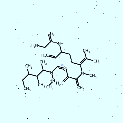 C=CC(CCC(=C(C)C)N(C)C(=C)C(=C)/N=C\N(NC)C(C)C(C)C(C)CC)NC(=C)CN